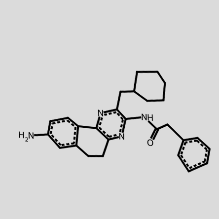 Nc1ccc2c(c1)CCc1nc(NC(=O)Cc3ccccc3)c(CC3CCCCC3)nc1-2